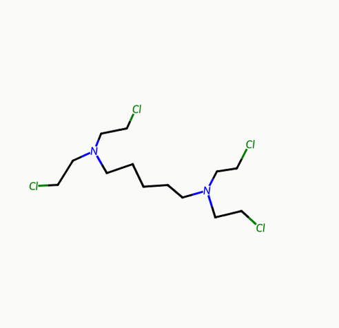 ClCCN(CCCl)CCCCCN(CCCl)CCCl